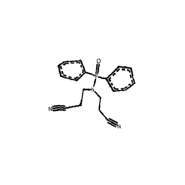 N#CCCN(CCC#N)P(=O)(c1ccccc1)c1ccccc1